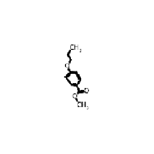 CCCOc1ccc(C(=O)OC)cc1